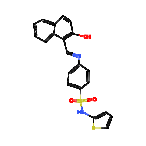 O=S(=O)(Nc1cccs1)c1ccc(/N=C/c2c(O)ccc3ccccc23)cc1